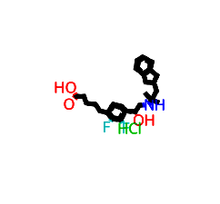 CC(C)(CC1Cc2ccccc2C1)NC[C@@H](O)c1ccc(CCCCC(=O)O)c(F)c1F.Cl